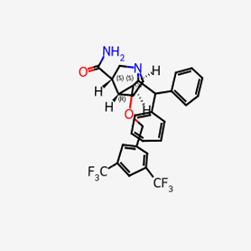 NC(=O)[C@@H]1CN2CC[C@H]1[C@H](OCc1cc(C(F)(F)F)cc(C(F)(F)F)c1)[C@@H]2C(c1ccccc1)c1ccccc1